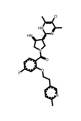 CC1=N/C(=C2\CN(C(=O)c3ccc(F)cc3OCCc3ccc(C)nc3)CC2=N)NC(C)=C1Cl